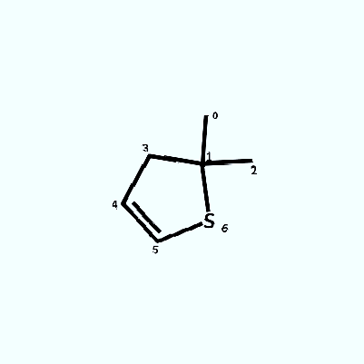 CC1(C)CC=CS1